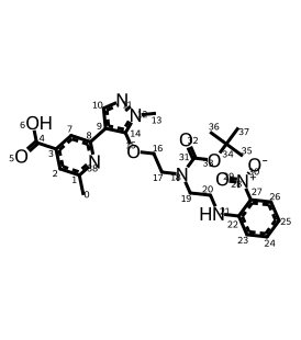 Cc1cc(C(=O)O)cc(-c2cnn(C)c2OCCN(CCNc2ccccc2[N+](=O)[O-])C(=O)OC(C)(C)C)n1